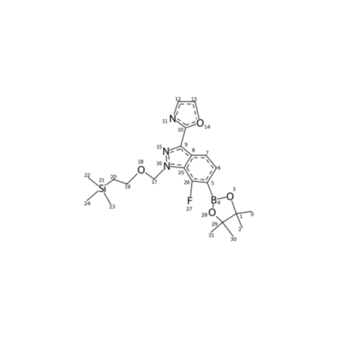 CC1(C)OB(c2ccc3c(-c4ncco4)nn(COCC[Si](C)(C)C)c3c2F)OC1(C)C